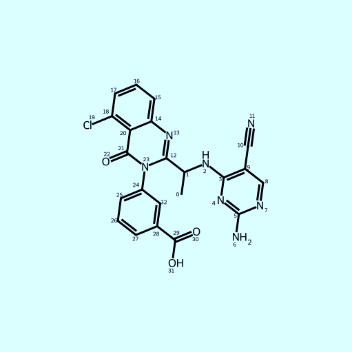 CC(Nc1nc(N)ncc1C#N)c1nc2cccc(Cl)c2c(=O)n1-c1cccc(C(=O)O)c1